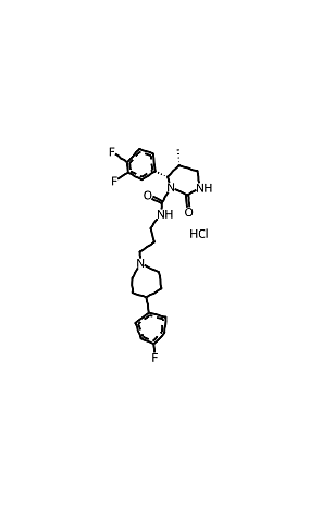 C[C@@H]1CNC(=O)N(C(=O)NCCCN2CCC(c3ccc(F)cc3)CC2)[C@@H]1c1ccc(F)c(F)c1.Cl